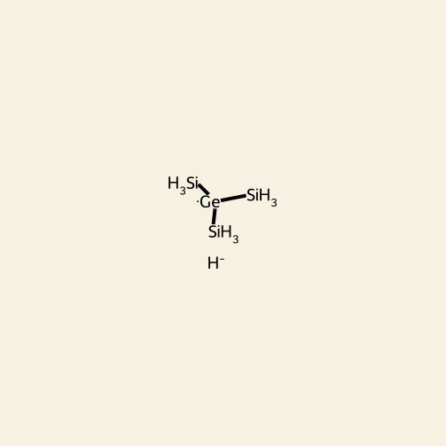 [H-].[SiH3][Ge]([SiH3])[SiH3]